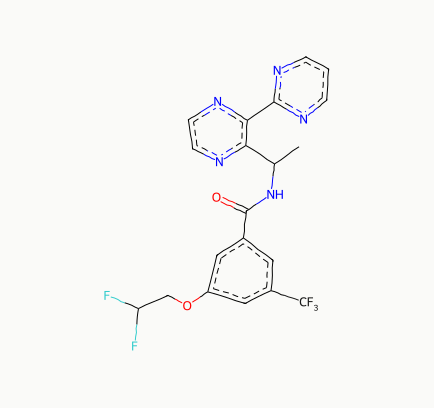 CC(NC(=O)c1cc(OCC(F)F)cc(C(F)(F)F)c1)c1nccnc1-c1ncccn1